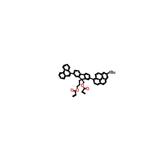 C=CC(=O)OCCCC1(COC(=O)C=C)c2cc(-c3cc4ccccc4c4ccccc34)ccc2-c2ccc(-c3ccc4ccc5cc(C(C)(C)C)cc6ccc3c4c56)cc21